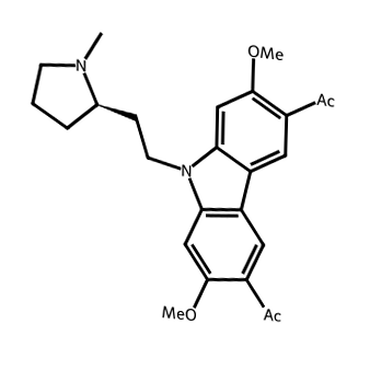 COc1cc2c(cc1C(C)=O)c1cc(C(C)=O)c(OC)cc1n2CC[C@H]1CCCN1C